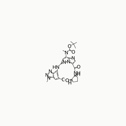 CN(C(=O)OC(C)(C)C)c1cc2nn3c(cnc13)C(=O)N[C@@H]1CCC[C@H]1OCc1cc(c3nnn(C)c3c1)N2